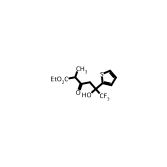 CCOC(=O)C(C)C(=O)CC(O)(c1cccs1)C(F)(F)F